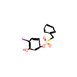 O=S(=O)(Cc1ccccc1)Oc1ccc(I)c(O)c1